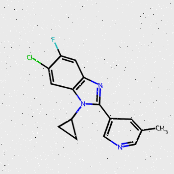 Cc1cncc(-c2nc3cc(F)c(Cl)cc3n2C2CC2)c1